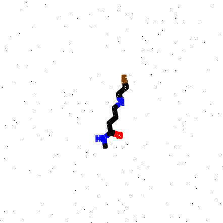 CNC(=O)CCCN=CC=S